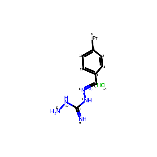 CC(C)c1ccc(/C=N/NC(=N)NN)cc1.Cl